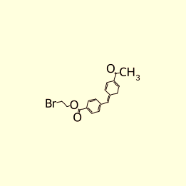 CC(=O)C1=CCC(=Cc2ccc(C(=O)OCCBr)cc2)C=C1